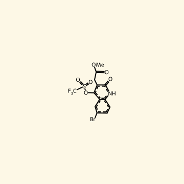 COC(=O)Cc1c(OS(=O)(=O)C(F)(F)F)c2cc(Br)ccc2[nH]c1=O